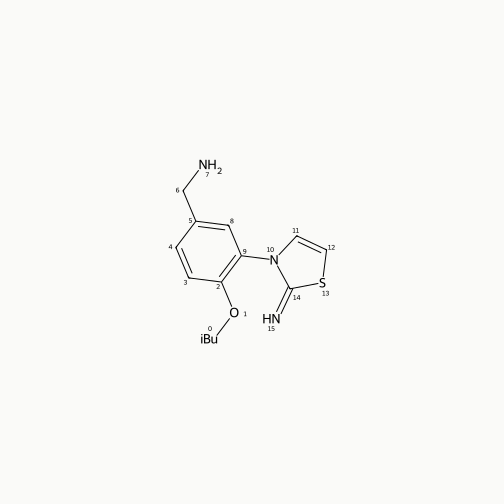 CCC(C)Oc1ccc(CN)cc1-n1ccsc1=N